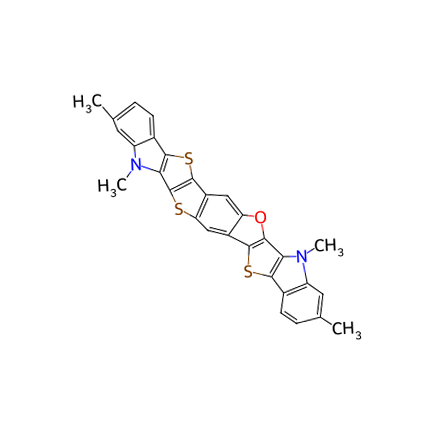 Cc1ccc2c3sc4c5cc6sc7c(sc8c9ccc(C)cc9n(C)c87)c6cc5oc4c3n(C)c2c1